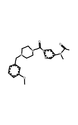 COc1cccc(CN2CCN(C(=O)n3cc(N(C)C(C)=O)cn3)CC2)c1